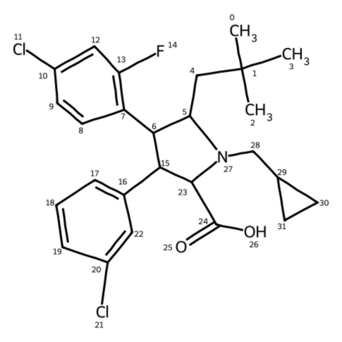 CC(C)(C)CC1C(c2ccc(Cl)cc2F)C(c2cccc(Cl)c2)C(C(=O)O)N1CC1CC1